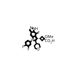 CO[C@]1(C(=O)O)C[C@H](c2c(C3CCOCC3)n(-c3ccc(F)c(F)c3)c3cc4cn[nH]c4c(F)c32)C1